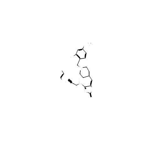 C#CCNC1=NC(=O)SC1=CC1CCN(Cc2ccc(OC)cc2C(F)(F)F)CC1.O=C(O)C=CC(=O)O